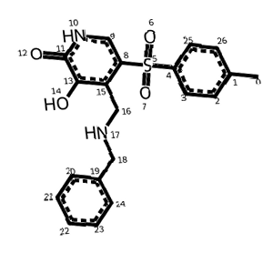 Cc1ccc(S(=O)(=O)c2c[nH]c(=O)c(O)c2CNCc2ccccc2)cc1